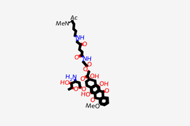 CN[C@H](CCCCNCC(=O)CCC(=O)NCC(=O)OCC(=O)C1(O)Cc2c(O)c3c(c(O)c2[C@H](OC2CC(N)C(O)C(C)O2)C1)C(=O)c1c(OC)cccc1C3=O)C(C)=O